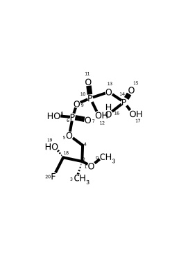 CO[C@](C)(COP(=O)(O)OP(=O)(O)OP(=O)(O)O)[C@@H](O)F